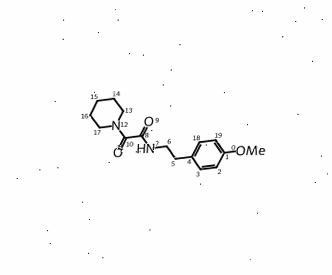 COc1ccc(CCNC(=O)C(=O)N2CCCCC2)cc1